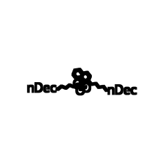 CCCCCCCCCCCCCCCOS(=O)(=O)c1c(CCCCCCCCCCCCCCC)ccc2ccccc12